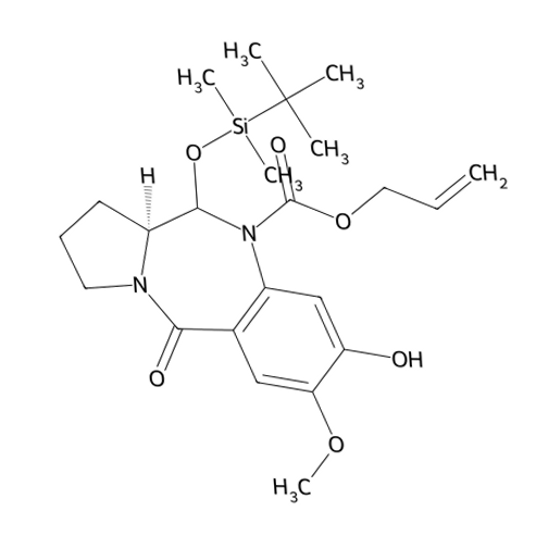 C=CCOC(=O)N1c2cc(O)c(OC)cc2C(=O)N2CCC[C@H]2C1O[Si](C)(C)C(C)(C)C